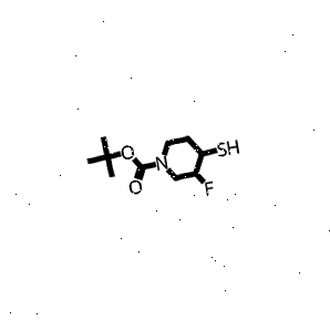 CC(C)(C)OC(=O)N1CCC(S)C(F)C1